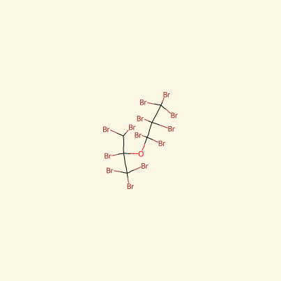 BrC(Br)C(Br)(OC(Br)(Br)C(Br)(Br)C(Br)(Br)Br)C(Br)(Br)Br